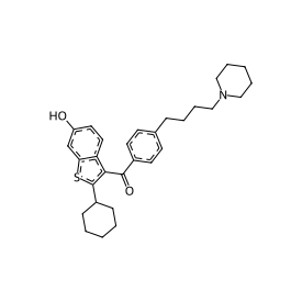 O=C(c1ccc(CCCCN2CCCCC2)cc1)c1c(C2CCCCC2)sc2cc(O)ccc12